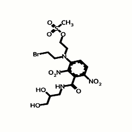 CS(=O)(=O)OCCN(CCBr)c1ccc([N+](=O)[O-])c(C(=O)NCC(O)CO)c1[N+](=O)[O-]